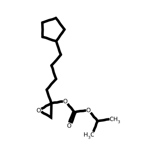 CC(C)OC(=O)OC1(CCCCC2CCCC2)CO1